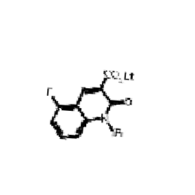 CCOC(=O)c1cc2c(F)cccc2n(C(C)C)c1=O